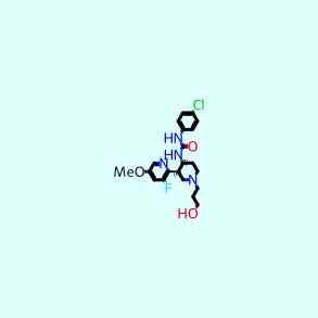 COc1cnc([C@@H]2CN(CCCO)CC[C@H]2NC(=O)Nc2ccc(Cl)cc2)c(F)c1